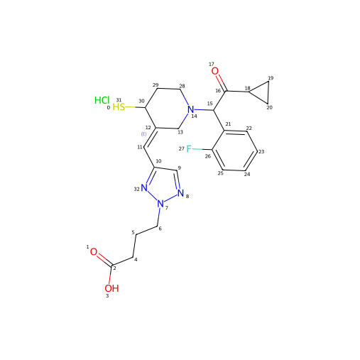 Cl.O=C(O)CCCn1ncc(/C=C2\CN(C(C(=O)C3CC3)c3ccccc3F)CCC2S)n1